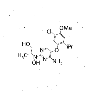 COc1cc(C(C)C)c(Oc2cnc(N(O)[C@H](C)CO)nc2N)cc1Cl